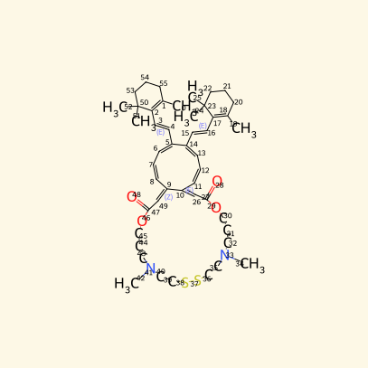 CC1=C(/C=C/c2cccc3/c(cccc2/C=C/C2=C(C)CCCC2(C)C)=C/C(=O)OCCCN(C)CCSSCCN(C)CCCOC(=O)\C=3)C(C)(C)CCC1